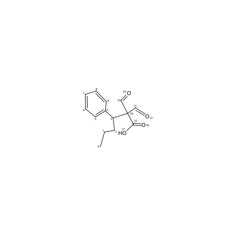 CCCC(c1ccccc1)C(C=O)(C=O)C(=O)O